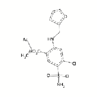 C=CC(C)=O.NS(=O)(=O)c1cc(C(=O)O)c(NCc2ccco2)cc1Cl